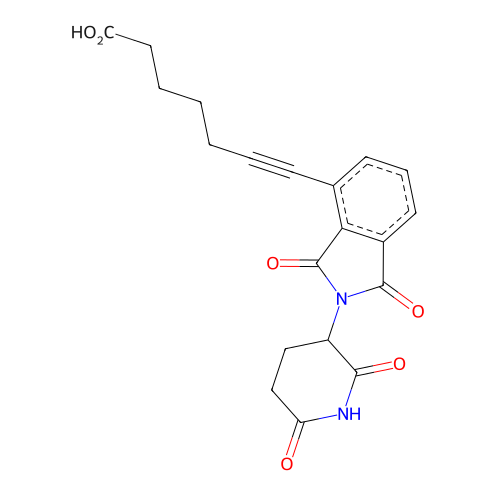 O=C(O)CCCCC#Cc1cccc2c1C(=O)N(C1CCC(=O)NC1=O)C2=O